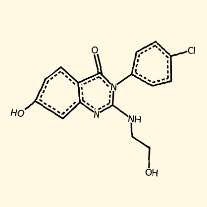 O=c1c2ccc(O)cc2nc(NCCO)n1-c1ccc(Cl)cc1